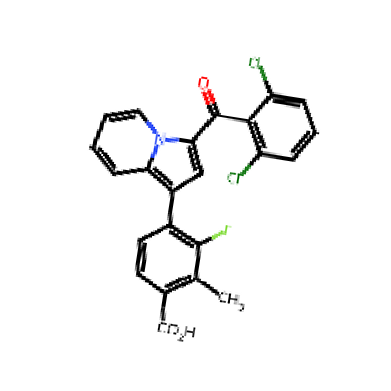 Cc1c(C(=O)O)ccc(-c2cc(C(=O)c3c(Cl)cccc3Cl)n3ccccc23)c1F